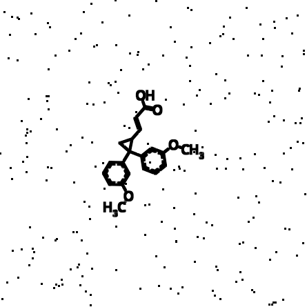 COc1cccc(C2(c3cccc(OC)c3)CC2C=CC(=O)O)c1